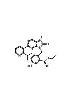 CCOC(=N)c1ccccc1Cn1c(=O)n(C)c2cnc(-c3cccnc3C(C)C)nc21.Cl